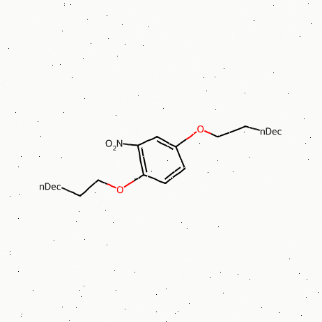 CCCCCCCCCCCCOc1ccc(OCCCCCCCCCCCC)c([N+](=O)[O-])c1